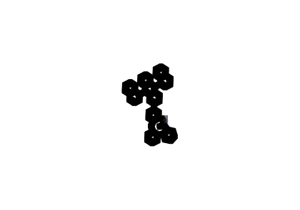 C/C1=N\c2cc(-c3ccc4c(-c5cccc6ccccc56)c5ccccc5c(-c5cccc6ccccc56)c4c3)ccc2Cc2ccccc2-c2ccccc21